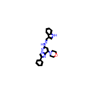 C(=NNc1cc(N2CCOCC2)c2nc(-c3ccccc3)cn2n1)c1c[nH]c2ccccc12